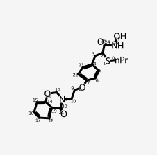 CCCSC(Cc1ccc(OCCN2COc3ccccc3C2=O)cc1)C(=O)NO